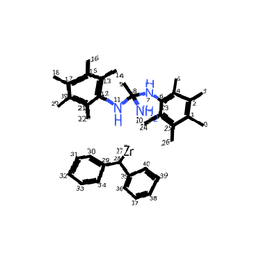 Cc1c(C)c(C)c(NC(C)(N)Nc2c(C)c(C)c(C)c(C)c2C)c(C)c1C.[Zr][CH](c1ccccc1)c1ccccc1